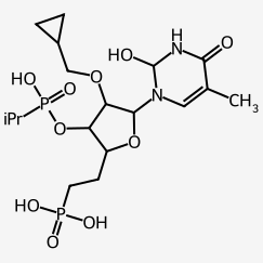 CC1=CN(C2OC(CCP(=O)(O)O)C(OP(=O)(O)C(C)C)C2OCC2CC2)C(O)NC1=O